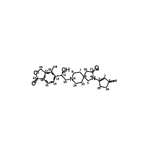 C=C1C=C(N2CC3(CCN(C[C@H](O)c4ccc5c(c4C)COC5=O)CC3)CC2=O)CC1